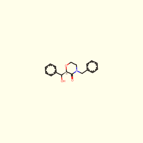 O=C1[C@@H](C(O)c2ccccc2)OCCN1Cc1ccccc1